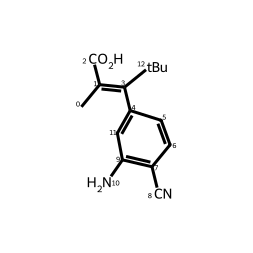 CC(C(=O)O)=C(c1ccc(C#N)c(N)c1)C(C)(C)C